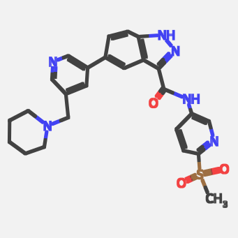 CS(=O)(=O)c1ccc(NC(=O)c2n[nH]c3ccc(-c4cncc(CN5CCCCC5)c4)cc23)cn1